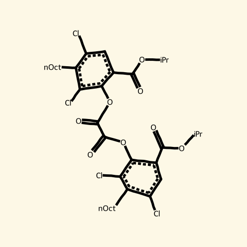 CCCCCCCCc1c(Cl)cc(C(=O)OC(C)C)c(OC(=O)C(=O)Oc2c(C(=O)OC(C)C)cc(Cl)c(CCCCCCCC)c2Cl)c1Cl